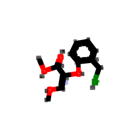 CO/C=C(/Oc1ccccc1CBr)C(=O)OC